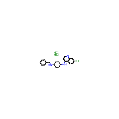 Cl.Cl.Clc1ccc2c(NC3CCC(NCc4ccccc4)CC3)ccnc2c1